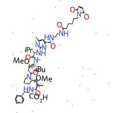 CC[C@H](C)[C@@H]([C@@H](CC(=O)N1CCCC1[C@H](OC)[C@@H](C)C(=O)NC(Cc1ccccc1)C(=O)O)OC)N(C)C(=O)C(Nc1nc(C)cc(C(=O)NCCNC(=O)CCCCCN2C(=O)C=CC2=O)n1)C(C)C